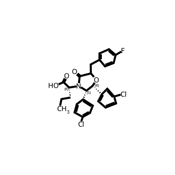 CCC[C@H](C(=O)O)N1C(=O)C(Cc2ccc(F)cc2)O[C@H](c2cccc(Cl)c2)[C@@H]1c1ccc(Cl)cc1